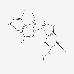 CCSc1cc2c(cc1F)COB2N(C)c1cccc2cccc(N(C)C)c12